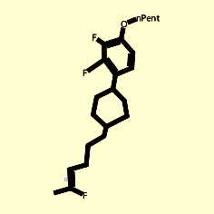 CCCCCOc1ccc(C2CCC(CCC/C=C(/C)F)CC2)c(F)c1F